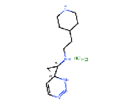 C1=C[C@]2(C[C@H]2NCCC2CCNCC2)NN=N1.Cl.Cl